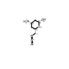 [N-]=[N+]=NC[C@@H]1C[C@H](N)C[C@H](O)O1